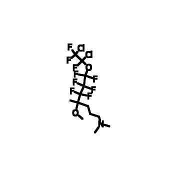 COC(C)(CCCN(C)C)C(F)(F)C(F)(F)C(F)(F)OC(F)(Cl)C(F)(F)Cl